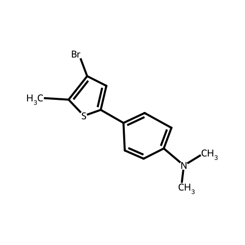 Cc1sc(-c2ccc(N(C)C)cc2)cc1Br